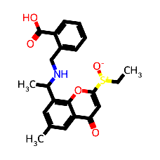 CC[S+]([O-])c1cc(=O)c2cc(C)cc(C(C)NCc3ccccc3C(=O)O)c2o1